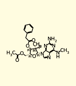 CNc1nc(N)nc2c1ncn2[C@@H]1O[C@H](COC(C)=O)[C@@H](OC(=O)Cc2ccccc2)[C@@]1(C)F